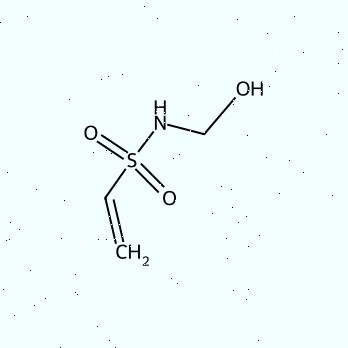 C=CS(=O)(=O)NCO